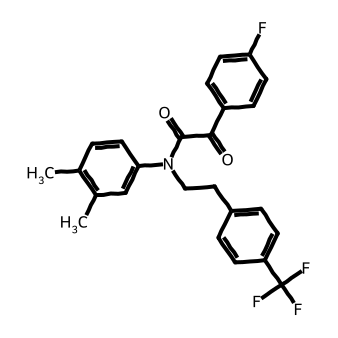 Cc1ccc(N(CCc2ccc(C(F)(F)F)cc2)C(=O)C(=O)c2ccc(F)cc2)cc1C